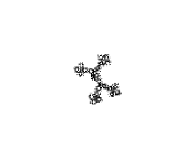 c1ccc([Si](c2ccccc2)(c2ccccc2)c2ccc(-c3ccc(N(c4ccc(-c5ccc([Si](c6ccccc6)(c6ccccc6)c6ccccc6)cc5)cc4)c4ccc(-c5ccc(-n6c7ccc(-c8ccc([Si](c9ccccc9)(c9ccccc9)c9ccccc9)cc8)cc7c7cc(-c8ccc([Si](c9ccccc9)(c9ccccc9)c9ccccc9)cc8)ccc76)cc5)c5nsnc45)cc3)cc2)cc1